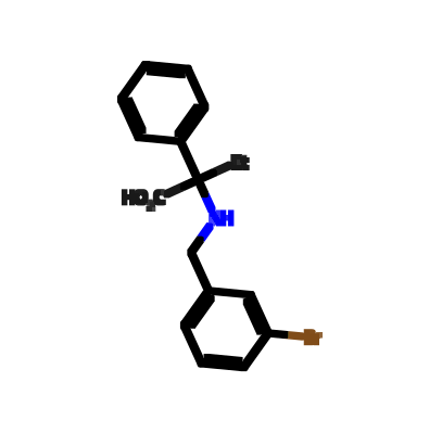 CCC(NCc1cccc(Br)c1)(C(=O)O)c1ccccc1